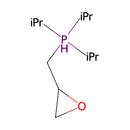 CC(C)[PH](CC1CO1)(C(C)C)C(C)C